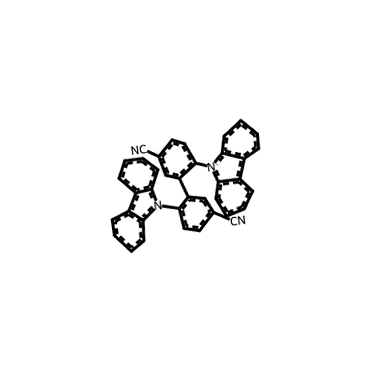 N#Cc1ccc(-n2c3ccccc3c3ccccc32)c(-c2cc(C#N)ccc2-n2c3ccccc3c3ccccc32)c1